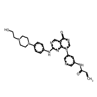 C=CC(=O)Nc1cncc(-n2cnc(=O)c3cnc(Nc4ccc(N5CCN(CCO)CC5)cc4)nc32)c1